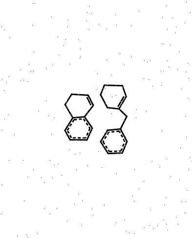 C1=C(Cc2ccccc2)CCCC1.C1=Cc2ccccc2CC1